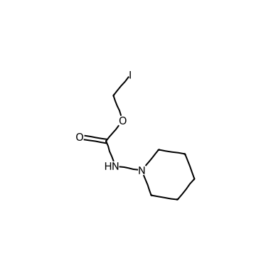 O=C(NN1CCCCC1)OCI